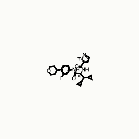 Cn1nccc1C(=O)N[C@H](C(=O)Nc1ccc(C2CCOCC2)c(F)c1)C(C1CC1)C1CC1